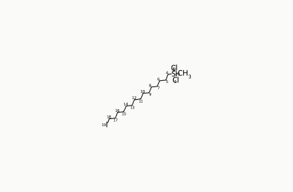 C[Si](Cl)(Cl)CCCCCCCCCCCCCCCI